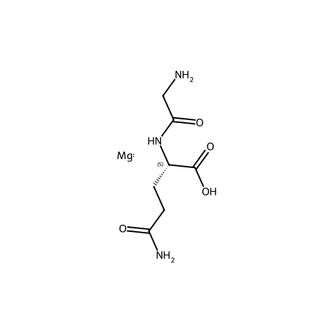 NCC(=O)N[C@@H](CCC(N)=O)C(=O)O.[Mg]